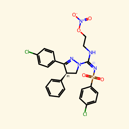 O=[N+]([O-])OCCN/C(=N/S(=O)(=O)c1ccc(Cl)cc1)N1C[C@@H](c2ccccc2)C(c2ccc(Cl)cc2)=N1